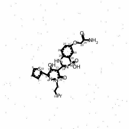 CC(C)CCn1nc(-c2cccs2)c(O)c(C2=NP(=O)(O)c3cc(OCC(N)=O)ccc3N2)c1=O